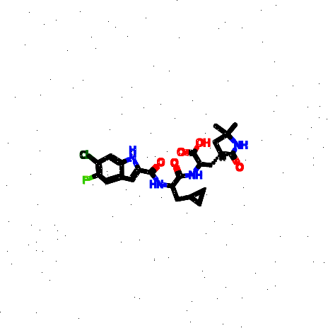 CC1(C)C[C@@H](CC(NC(=O)C(CC2CC2)NC(=O)c2cc3cc(F)c(Cl)cc3[nH]2)C(=O)O)C(=O)N1